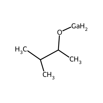 CC(C)C(C)[O][GaH2]